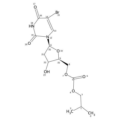 CC(C)COC(=O)OC[C@@H]1O[C@H](n2cc(Br)c(=O)[nH]c2=O)CC1O